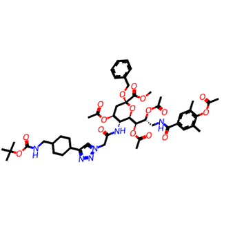 COC(=O)[C@@]1(OCc2ccccc2)C[C@H](OC(C)=O)[C@@H](NC(=O)Cn2cc(C3CCC(CNC(=O)OC(C)(C)C)CC3)nn2)[C@H]([C@H](OC(C)=O)[C@@H](CNC(=O)c2cc(C)c(OC(C)=O)c(C)c2)OC(C)=O)O1